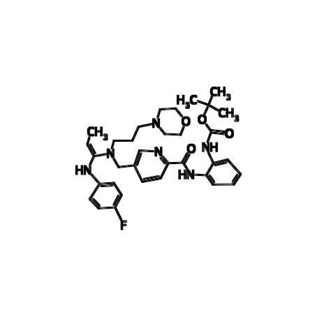 C/C=C(/Nc1ccc(F)cc1)N(CCCN1CCOCC1)Cc1ccc(C(=O)Nc2ccccc2NC(=O)OC(C)(C)C)nc1